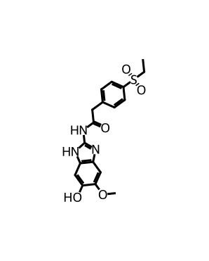 CCS(=O)(=O)c1ccc(CC(=O)Nc2nc3cc(OC)c(O)cc3[nH]2)cc1